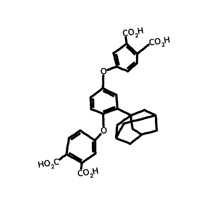 O=C(O)c1ccc(Oc2ccc(Oc3ccc(C(=O)O)c(C(=O)O)c3)c(C34CC5CC(CC(C5)C3)C4)c2)cc1C(=O)O